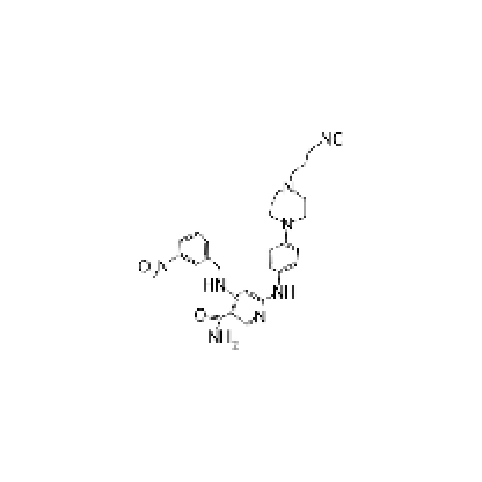 [C-]#[N+]CCCN1CCN(c2ccc(Nc3cc(NCc4cccc([N+](=O)[O-])c4)c(C(N)=O)cn3)cc2)CC1